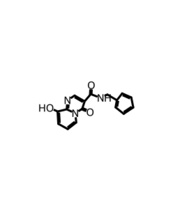 O=C(NCc1ccccc1)c1cnc2c(O)cccn2c1=O